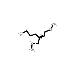 CCCC/C(=C\COC)COC